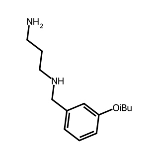 CC(C)COc1cccc(CNCCCN)c1